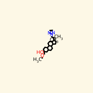 CCOCC1(O)CCC2C(CCC3C2CCC2(C)C3CCC2[C@@H](C)Cn2nccn2)C1